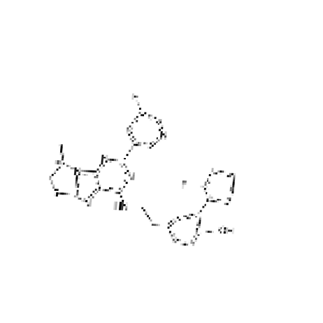 C[C@@H]1CSc2nc3c(NCCc4ccc(O)c(-c5ccccc5F)c4)nc(-c4cncc(F)c4)nc3n21